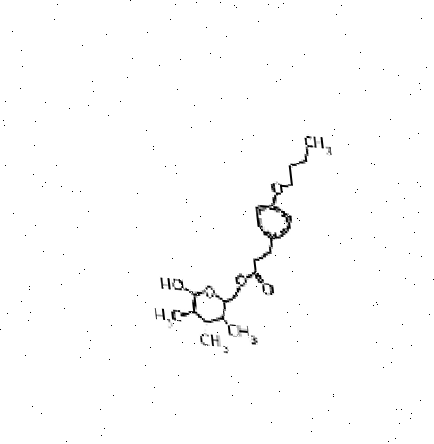 CCCCOc1ccc(CCC(=O)OCC2O[C@H](O)C(C)[C@@H](C)[C@@H]2C)cc1